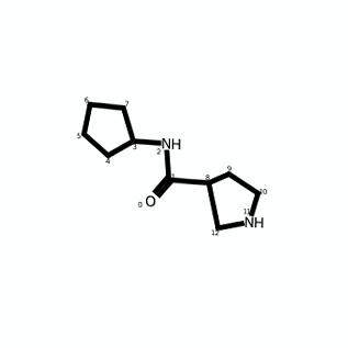 O=C(NC1CCCC1)C1CCNC1